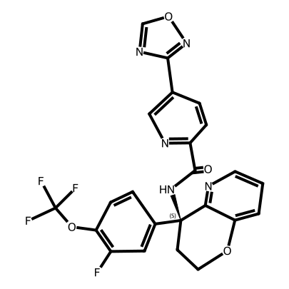 O=C(N[C@]1(c2ccc(OC(F)(F)F)c(F)c2)CCOc2cccnc21)c1ccc(-c2ncon2)cn1